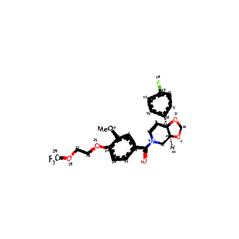 COc1cc(C(=O)N2CC[C@@]3(c4ccc(F)cc4)OCO[C@H]3C2)ccc1OCCOC(F)(F)F